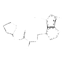 CC(C)(C)C(NCc1ccnc2[nH]cc(C(=O)O)c12)C(=O)NC1CCCC1